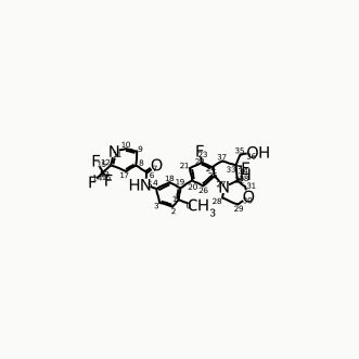 Cc1ccc(NC(=O)c2ccnc(C(F)(F)F)c2)cc1-c1cc(F)c2c(c1)N1CCOC[C@H]1[C@@](F)(CO)C2